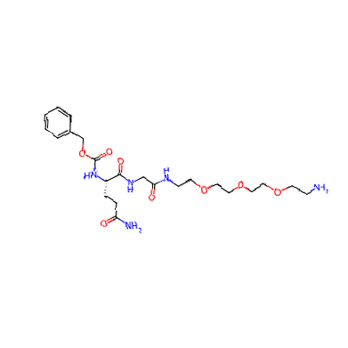 NCCOCCOCCOCCNC(=O)CNC(=O)[C@H](CCC(N)=O)NC(=O)OCc1ccccc1